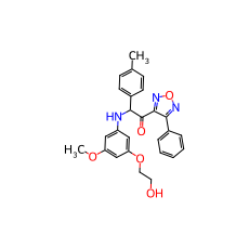 COc1cc(NC(C(=O)c2nonc2-c2ccccc2)c2ccc(C)cc2)cc(OCCO)c1